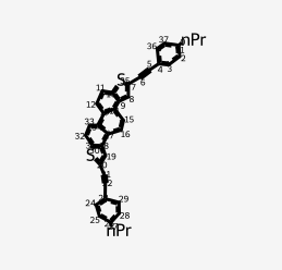 CCCc1ccc(C#Cc2cc3c(ccc4c3ccc3c5cc(C#Cc6ccc(CCC)cc6)sc5ccc34)s2)cc1